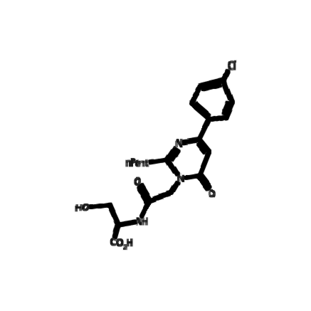 CCCCCc1nc(-c2ccc(Cl)cc2)cc(=O)n1CC(=O)NC(CO)C(=O)O